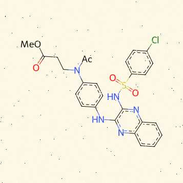 COC(=O)CCN(C(C)=O)c1ccc(Nc2nc3ccccc3nc2NS(=O)(=O)c2ccc(Cl)cc2)cc1